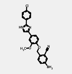 Bc1ccc(COc2ccc(-c3c[nH]c(-c4ccc(Cl)cc4)n3)cc2OC)c(C#N)c1